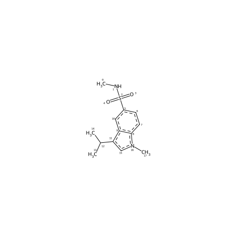 CNS(=O)(=O)c1ccc2c(c1)c(C(C)C)cn2C